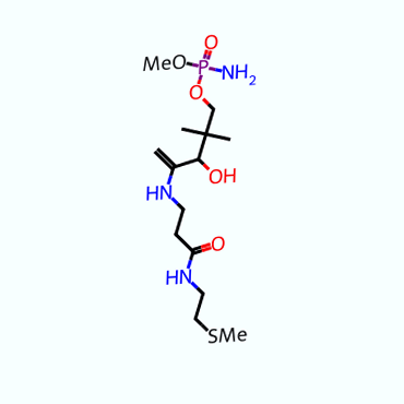 C=C(NCCC(=O)NCCSC)C(O)C(C)(C)COP(N)(=O)OC